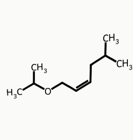 CC(C)C/C=C\COC(C)C